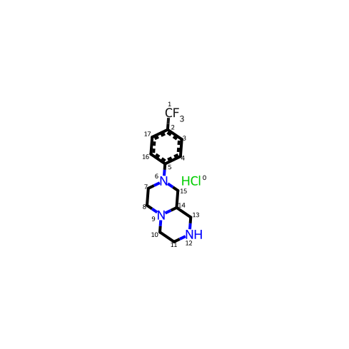 Cl.FC(F)(F)c1ccc(N2CCN3CCNCC3C2)cc1